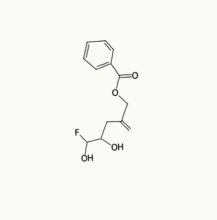 C=C(COC(=O)c1ccccc1)CC(O)C(O)F